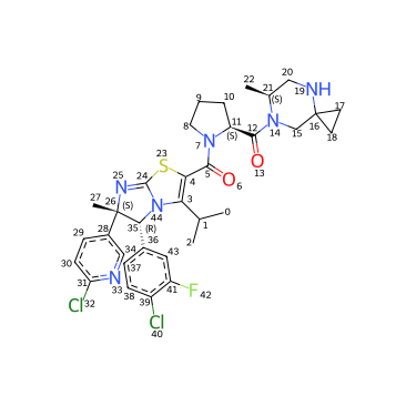 CC(C)C1=C(C(=O)N2CCC[C@H]2C(=O)N2CC3(CC3)NC[C@@H]2C)SC2=N[C@@](C)(c3ccc(Cl)nc3)[C@@H](c3ccc(Cl)c(F)c3)N21